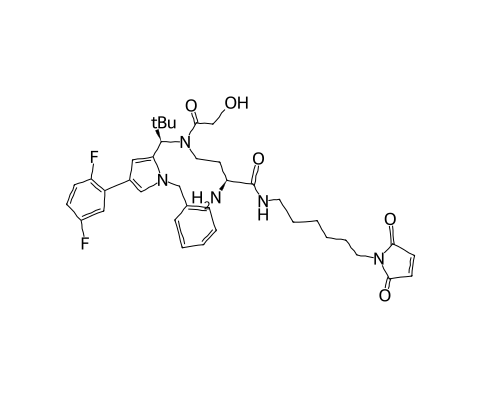 CC(C)(C)[C@H](c1cc(-c2cc(F)ccc2F)cn1Cc1ccccc1)N(CC[C@H](N)C(=O)NCCCCCCN1C(=O)C=CC1=O)C(=O)CO